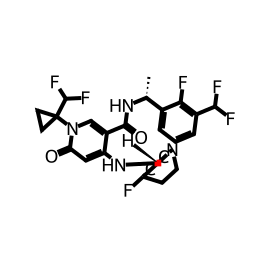 C[C@@H](NC(=O)c1cn(C2(C(F)F)CC2)c(=O)cc1N[C@H]1CN2CCC1(F)CC2)c1cccc(C(F)F)c1F